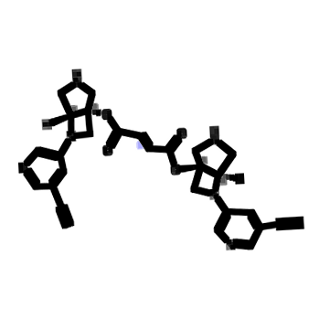 C#Cc1cncc(N2C[C@]3(OC(=O)/C=C/C(=O)O[C@@]45CNC[C@H]4N(c4cncc(C#C)c4)C5)CNC[C@@H]23)c1